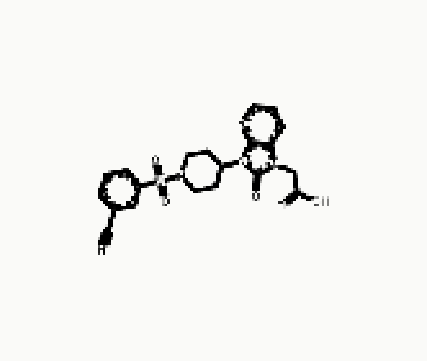 N#Cc1cccc(S(=O)(=O)N2CCC(n3c(=O)n(CC(=O)O)c4cccnc43)CC2)c1